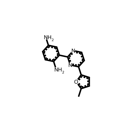 Cc1ccc(-c2ccnc(-c3cc(N)ccc3N)n2)o1